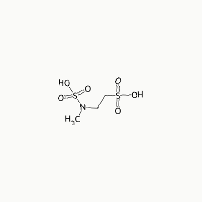 CN(CCS(=O)(=O)O)S(=O)(=O)O